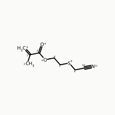 C=C(C)C(=O)OCCSCC#N